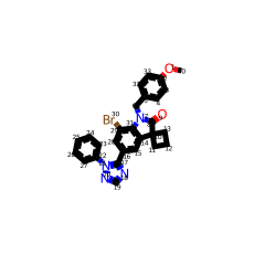 COc1ccc(CN2C(=O)C3(CCC3)c3cc(-c4ncnn4-c4ccccc4)cc(Br)c32)cc1